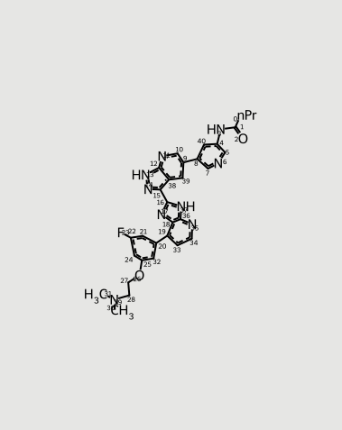 CCCC(=O)Nc1cncc(-c2cnc3[nH]nc(-c4nc5c(-c6cc(F)cc(OCCN(C)C)c6)ccnc5[nH]4)c3c2)c1